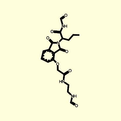 CCCC(C(=O)NC=O)N1C(=O)c2cccc(OCC(=O)NCCNC=O)c2C1=O